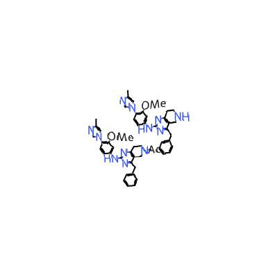 COc1cc(Nc2nc3c(c(Cc4ccccc4)n2)CN(C(C)=O)CC3)ccc1-n1cnc(C)c1.COc1cc(Nc2nc3c(c(Cc4ccccc4)n2)CNCC3)ccc1-n1cnc(C)c1